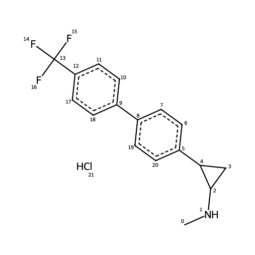 CNC1CC1c1ccc(-c2ccc(C(F)(F)F)cc2)cc1.Cl